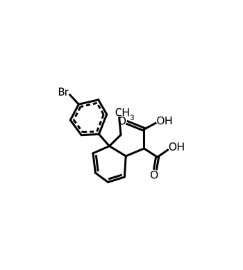 CCC1(c2ccc(Br)cc2)C=CC=CC1C(C(=O)O)C(=O)O